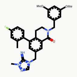 COc1cc(CN2CCc3c(cc(Cn4cnn(C)c4=N)cc3-c3ccc(F)cc3C)C2=O)cc(OC)c1